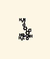 C/C(O)=C1\C(=O)Nc2cc(Cl)c(-c3ccc(OCCCN)cc3)cc21